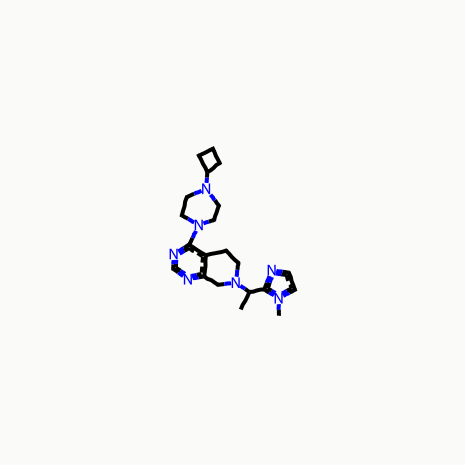 CC(c1nccn1C)N1CCc2c(ncnc2N2CCN(C3CCC3)CC2)C1